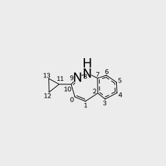 C1=Cc2ccccc2NN=C1C1CC1